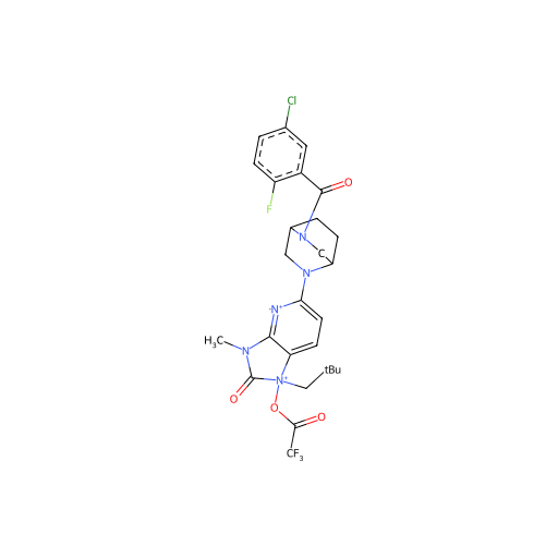 CN1C(=O)[N+](CC(C)(C)C)(OC(=O)C(F)(F)F)C2=CC=C(N3CC4CCC3CN4C(=O)c3cc(Cl)ccc3F)[N+]=C21